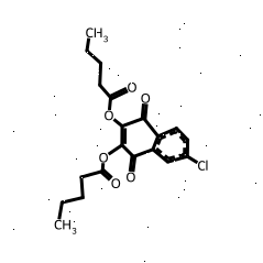 CCCCC(=O)OC1=C(OC(=O)CCCC)C(=O)c2cc(Cl)ccc2C1=O